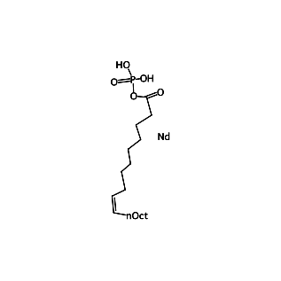 CCCCCCCC/C=C\CCCCCCCC(=O)OP(=O)(O)O.[Nd]